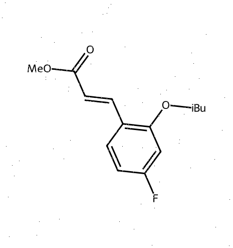 CCC(C)Oc1cc(F)ccc1C=CC(=O)OC